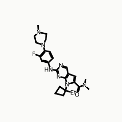 CCC1(n2c(C(=O)N(C)C)cc3cnc(Nc4ccc(N5CCN(C)CC5)c(F)c4)nc32)CCC1